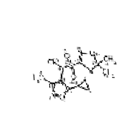 Cc1noc(C2CC2)c1C(Cl)S(=O)(=O)C1=NOC(C)(C)C1